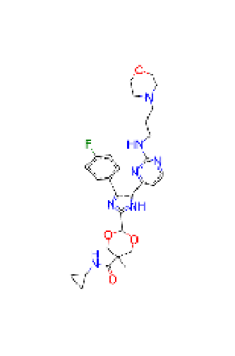 CC1(C(=O)NC2CC2)COC(c2nc(-c3ccc(F)cc3)c(-c3ccnc(NCCCN4CCOCC4)n3)[nH]2)OC1